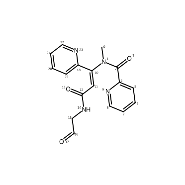 CN(C(=O)c1ccccn1)C(=CC(=O)NC[C]=O)c1ccccn1